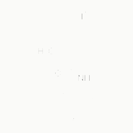 Cc1cc(I)ccc1C(=O)Nc1ccccc1